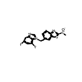 C[S+]([O-])c1nc2ccc(Cn3cnc4cc(F)cc(F)c43)cc2s1